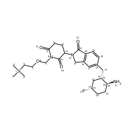 C[Si](C)(C)CCOCN1C(=O)CCC(N2Cc3cc(C[C@H]4C[C@@H](F)CC[C@@H]4N)ccc3C2=O)C1=O